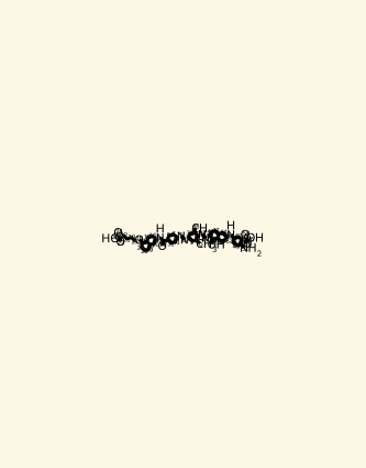 Cc1cc(N=Nc2ccc(C(=O)Nc3ccc4c(OCCCCS(=O)(=O)O)cccc4c3)cc2)cc(C)c1N=Nc1ccc2cc(Nc3ccc(N)c(S(=O)(=O)O)c3)ccc2c1O